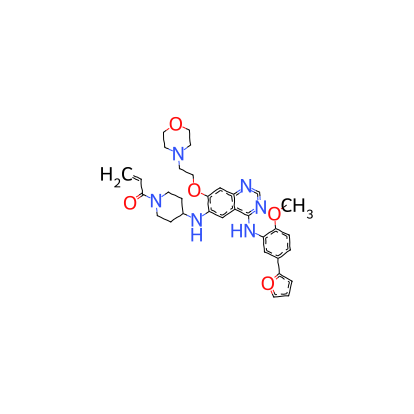 C=CC(=O)N1CCC(Nc2cc3c(Nc4cc(-c5ccco5)ccc4OC)ncnc3cc2OCCN2CCOCC2)CC1